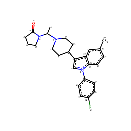 CC(N1CCC(c2cn(-c3ccc(F)cc3)c3ccc(C(F)(F)F)cc23)CC1)N1CCCC1=O